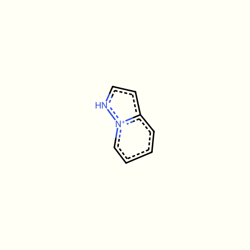 c1cc[n+]2[nH]ccc2c1